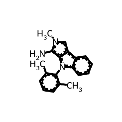 Cc1cccc(C)c1-n1c2ccccc2c2cn(C)c(N)c21